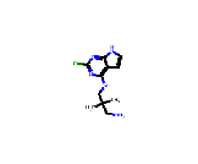 CC(C)(CN)CNc1nc(Cl)nc2[nH]ccc12